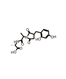 CC(C(=O)N[C@@H](C)C(=O)O)N1C(=O)CC(Cc2ccc(O)cc2O)C1=O